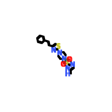 Cc1cnc(S(=O)(=O)N2CCN(c3nc(C=Cc4ccccc4)cs3)CC2)[nH]1